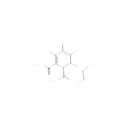 COC(=O)c1c(Br)c(Br)c(Br)c(Br)c1C(=O)OC.NCCN